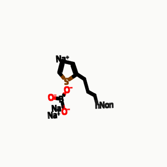 CCCCCCCCCCCCc1cccs1.[Na+].[Na+].[Na+].[O-]B([O-])[O-]